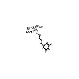 CCO[Si](CCCCCCc1cc(F)cc(F)c1)(OC)OC